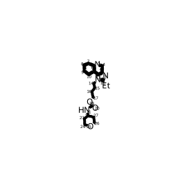 CCc1nc2cnc3ccccc3c2n1CCCCOC(=O)NC1CCOCC1